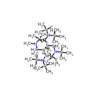 CN([SiH2][SiH]([SiH2]N([Si](C)(C)C)[Si](C)(C)C)[SiH]([SiH2]N([Si](C)(C)C)[Si](C)(C)C)[SiH2]N([Si](C)(C)C)[Si](C)(C)C)[Si](C)(C)C